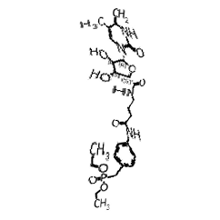 C=C1NC(=O)N([C@@H]2O[C@H](C(=O)NCCCC(=O)Nc3ccc(CP(=O)(OCC)OCC)cc3)[C@@H](O)[C@H]2O)C=C1C